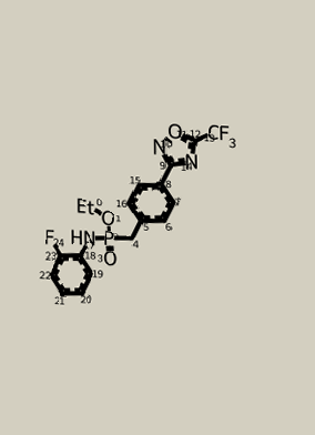 CCOP(=O)(Cc1ccc(-c2noc(C(F)(F)F)n2)cc1)Nc1ccccc1F